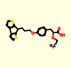 CCOC(Cc1ccc(OCCCC2c3sccc3-c3ccsc32)cc1)C(=O)O